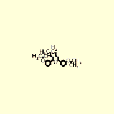 CCCCC(OC(CCCC)c1cccc(OC(C)C)c1)c1cccc(OC(C)C)c1